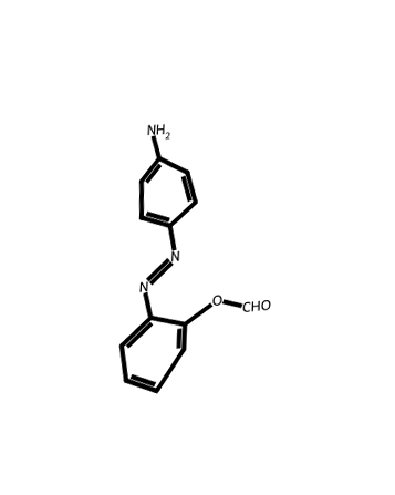 Nc1ccc(N=Nc2ccccc2OC=O)cc1